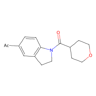 CC(=O)c1ccc2c(c1)CCN2C(=O)C1CCOCC1